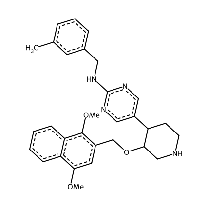 COc1cc(COC2CNCCC2c2cnc(NCc3cccc(C)c3)nc2)c(OC)c2ccccc12